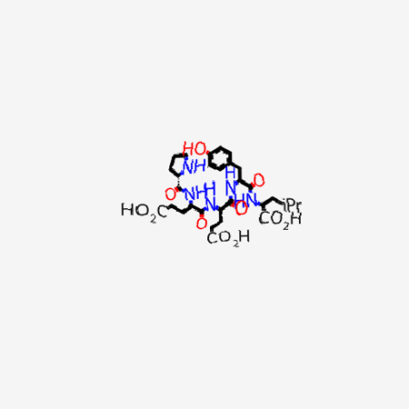 CC(C)CC(NC(=O)C(Cc1ccc(O)cc1)NC(=O)C(CCC(=O)O)NC(=O)C(CCC(=O)O)NC(=O)[C@@H]1CCCN1)C(=O)O